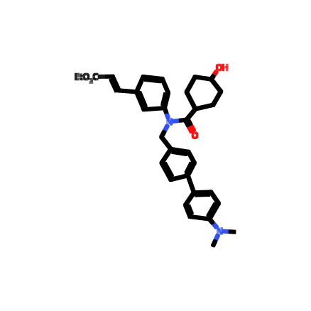 CCOC(=O)C=Cc1cccc(N(Cc2ccc(-c3ccc(N(C)C)cc3)cc2)C(=O)C2CCC(O)CC2)c1